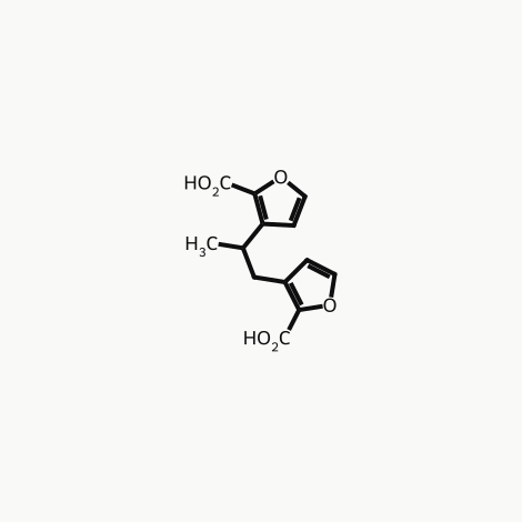 CC(Cc1ccoc1C(=O)O)c1ccoc1C(=O)O